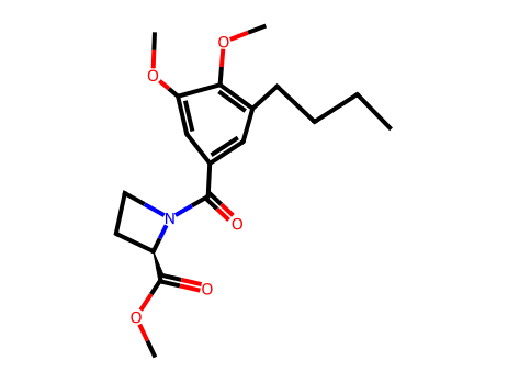 CCCCc1cc(C(=O)N2CC[C@@H]2C(=O)OC)cc(OC)c1OC